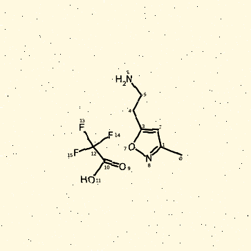 Cc1cc(CCN)on1.O=C(O)C(F)(F)F